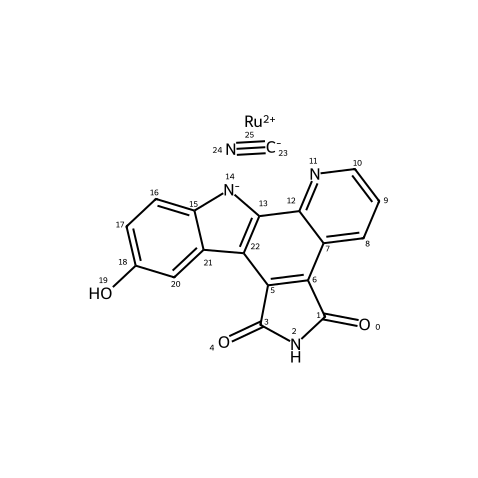 O=C1NC(=O)c2c1c1cccnc1c1[n-]c3ccc(O)cc3c21.[C-]#N.[Ru+2]